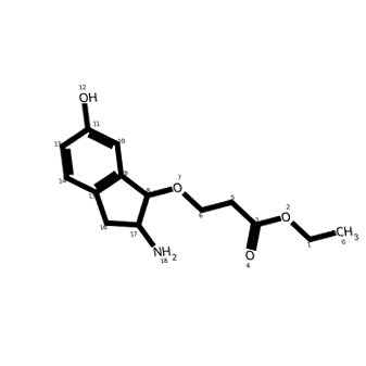 CCOC(=O)CCOC1c2cc(O)ccc2CC1N